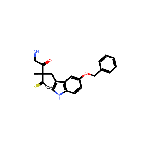 COC(=S)C(C)(Cc1c[nH]c2ccc(OCc3ccccc3)cc12)C(=O)CN